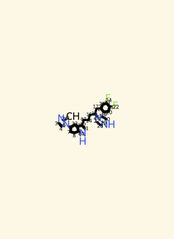 Cc1nccn1-c1ccc2[nH]cc(CCCC(Cc3ccc(F)c(F)c3)N3CCNCC3)c2c1